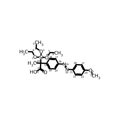 CCO[Si](OCC)(OCC)C(C)(C(=O)O)c1ccc(N=Nc2ccc(OC)cc2)cc1